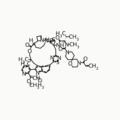 C=CC(=O)N1CCOC2(CCN(C(=O)N(C)[C@H](C(=O)NC3(C=C)Cc4nsc(n4)-c4ccc5c(c4)c(c(-c4cccnc4[C@H](C)OC)n5CC)CC(C)(C)COC(=O)[C@@H]4CCCN(C3=O)[N+]3=CCC43)C(C)C)CC2)C1